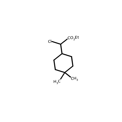 CCOC(=O)C(Cl)C1CCC(C)(C)CC1